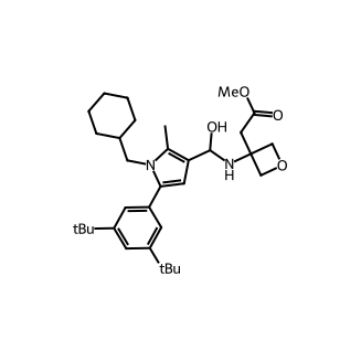 COC(=O)CC1(NC(O)c2cc(-c3cc(C(C)(C)C)cc(C(C)(C)C)c3)n(CC3CCCCC3)c2C)COC1